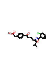 CC(C)c1oc(-c2ccccc2Cl)nc1CCCC(=O)c1ccc(CC(=O)O)cc1